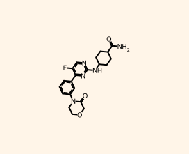 NC(=O)C1CCC(Nc2ncc(F)c(-c3cccc(N4CCOCC4=O)c3)n2)CC1